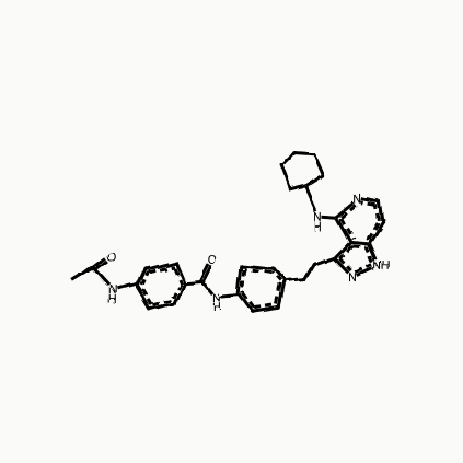 CC(=O)Nc1ccc(C(=O)Nc2ccc(CCc3n[nH]c4ccnc(NC5CCCCC5)c34)cc2)cc1